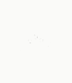 CCCCCCCc1[nH]c(Cc2ccc(CCCCC)cc2)nc1-c1ccc(C(C)C)cc1